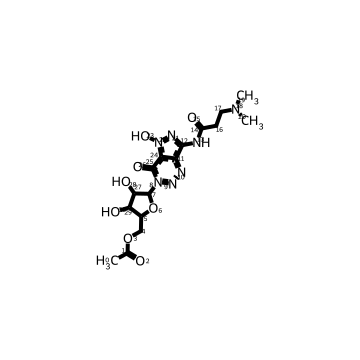 CC(=O)OCC1OC(n2nnc3c(NC(=O)CCN(C)C)nn(O)c3c2=O)C(O)C1O